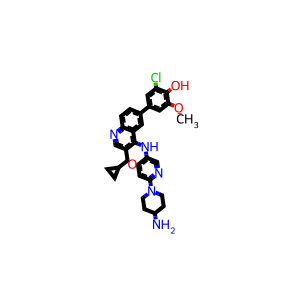 COc1cc(-c2ccc3ncc(C(=O)C4CC4)c(Nc4ccc(N5CCC(N)CC5)nc4)c3c2)cc(Cl)c1O